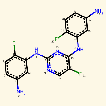 Nc1ccc(F)c(Nc2ncc(F)c(Nc3cc(N)ccc3F)n2)c1